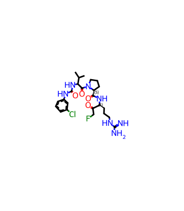 CC(C)C(NC(=O)Nc1cccc(Cl)c1)C(=O)N1CCC[C@H]1C(=O)N[C@@H](CCCNC(=N)N)C(=O)CF